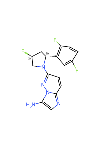 Nc1cnc2ccc(N3C[C@@H](F)C[C@@H]3c3cc(F)ccc3F)nn12